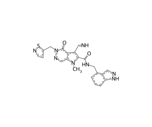 Cn1c(C(=O)NCc2cccc3[nH]ncc23)c(C=N)c2c(=O)n(Cc3ccns3)ncc21